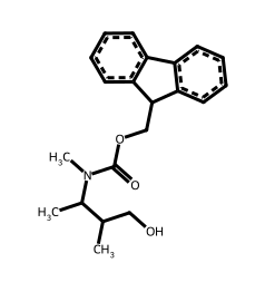 CC(CO)C(C)N(C)C(=O)OCC1c2ccccc2-c2ccccc21